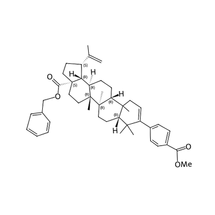 C=C(C)[C@H]1CC[C@]2(C(=O)OCc3ccccc3)CC[C@]3(C)[C@H](CC[C@@H]4C5(C)CC=C(c6ccc(C(=O)OC)cc6)C(C)(C)[C@@H]5CC[C@]43C)[C@@H]12